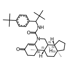 CC(C)(C)c1ccc(C(NC(=O)N2C[C@H]3[C@@H]4CCC[C@@]4(C)CC[C@@H]3[C@@]3(C)CCC(=O)C=C23)C(C)(C)C)cc1